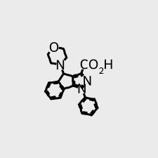 O=C(O)c1nn(-c2ccccc2)c2c1C(N1CCOCC1)c1ccccc1-2